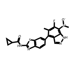 Cc1c(F)c([S+](C)[O-])c2[nH]ncc2c1-c1ccc2nc(NC(=O)C3CC3)sc2c1